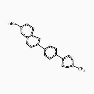 CCCCc1ccc2cc(-c3ccc(-c4ccc(C(F)(F)F)cc4)cc3)ccc2c1